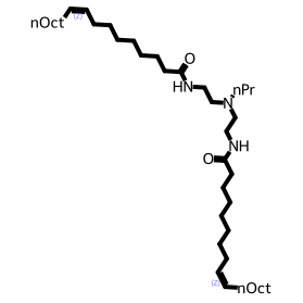 CCCCCCCC/C=C\CCCCCCCC(=O)NCCN(CCC)CCNC(=O)CCCCCCC/C=C\CCCCCCCC